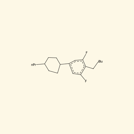 CCCC1CCC(c2cc(F)c(CC(C)CC)c(F)c2)CC1